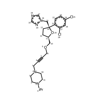 CC(C)N1CCN(CC#CCOC[C@H]2CC[C@](Cn3cncn3)(c3ccc(Cl)cc3Cl)O2)CC1